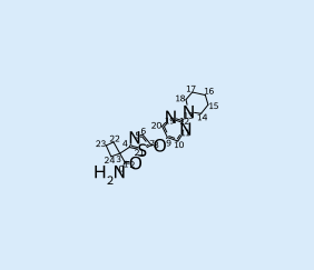 NC(=O)C1(c2ncc(Oc3cnc(N4CCCCC4)nc3)s2)CCC1